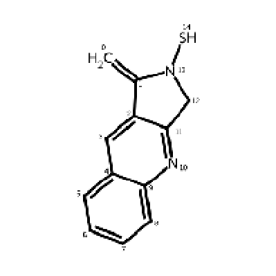 C=C1c2cc3ccccc3nc2CN1S